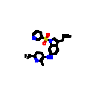 CNCc1cn(S(=O)(=O)c2cccnc2)c2cc(Nc3ccc(C(F)(F)F)nc3C)ccc12